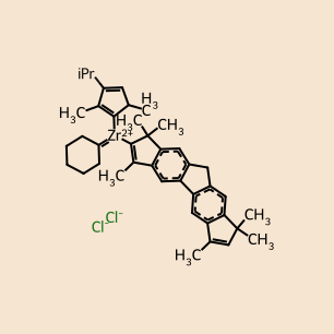 CC1=CC(C)(C)c2cc3c(cc21)-c1cc2c(cc1C3)C(C)(C)[C]([Zr+2]([C]1=C(C)C(C(C)C)=CC1C)=[C]1CCCCC1)=C2C.[Cl-].[Cl-]